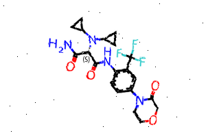 NC(=O)[C@@H](C(=O)Nc1ccc(N2CCOCC2=O)cc1C(F)(F)F)N(C1CC1)C1CC1